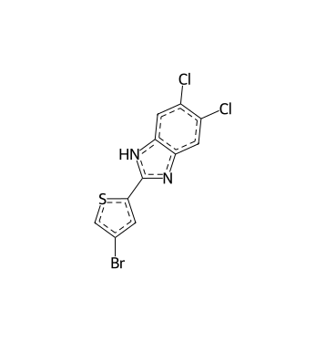 Clc1cc2nc(-c3cc(Br)cs3)[nH]c2cc1Cl